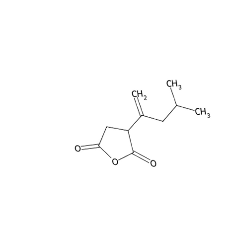 C=C(CC(C)C)C1CC(=O)OC1=O